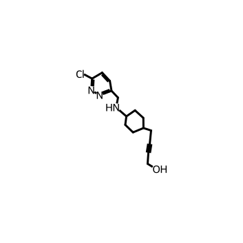 OCC#CCC1CCC(NCc2ccc(Cl)nn2)CC1